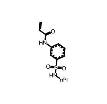 C=CC(=O)Nc1cccc(S(=O)(=O)NCCC)c1